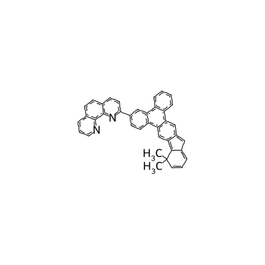 CC1(C)C=CC=C2C=c3cc4c5ccccc5c5cc(-c6ccc7ccc8cccnc8c7n6)ccc5c4cc3=C21